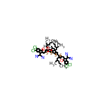 CCCCC(CC)COc1cc(/C=C2\C(=O)c3cc(Cl)c(Cl)cc3C2=C(C#N)C#N)sc1-c1cc2c(s1)-c1sc(-c3sc(/C=C4\C(=O)c5cc(Cl)c(Cl)cc5C4=C(C#N)C#N)cc3CC(CC)CCCC)cc1C2(CC(CC)CCCC)CC(CC)CCCC